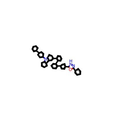 c1ccc(C2=NNC(c3ccc(-c4ccccc4-c4ccccc4-c4ccc5c(c4)c4ccccc4n5-c4ccc(-c5ccccc5)cc4)cc3)O2)cc1